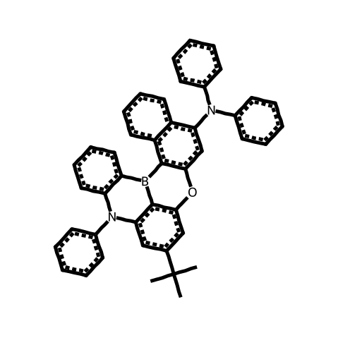 CC(C)(C)c1cc2c3c(c1)N(c1ccccc1)c1ccccc1B3c1c(cc(N(c3ccccc3)c3ccccc3)c3ccccc13)O2